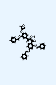 O=c1c(O)c(-c2ccc(OC3COC3)c(OCc3ccccc3)c2)oc2cc(OCc3ccccc3)cc(OCc3ccccc3)c12